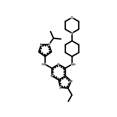 CCc1nc2c(NC3CCC(N4CCOCC4)CC3)nc(Nc3cnn(C(C)C)c3)nc2s1